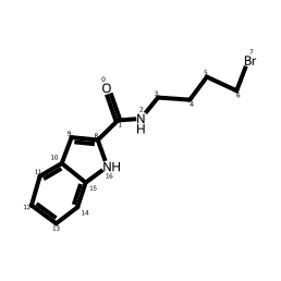 O=C(NCCCCBr)c1cc2ccccc2[nH]1